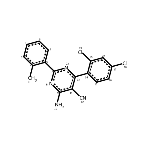 Cc1ccccc1-c1nc(N)c(C#N)c(-c2ccc(Cl)cc2Cl)n1